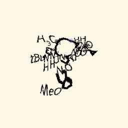 CC[C@@H]1C[C@H](C)CC/C=C\[C@@H]2C[C@@]2(C(=O)NS(=O)(=O)C2CC2)NC(=O)[C@@H]2C[C@@H](Oc3nccc4c(OC)cccc34)CN2C(=O)[C@H]1NC(=O)NC(C)(C)C